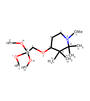 CCCO[Si](COC1CCN(OC)C(C)(C)C1(C)C)(OCCC)OCCC